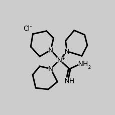 N=C(N)[N+](N1CCCCC1)(N1CCCCC1)N1CCCCC1.[Cl-]